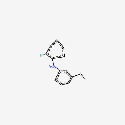 CCc1cccc(Nc2ccccc2F)c1